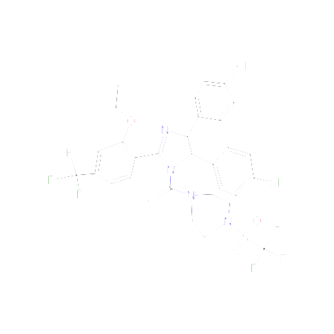 CCOc1cc(C(F)(F)F)ccc1C1=NC(c2ccc(Cl)cc2)C(c2ccc(Cl)cc2)N1C(=O)N1CCN(S(=O)(=O)C(F)(F)F)CC1